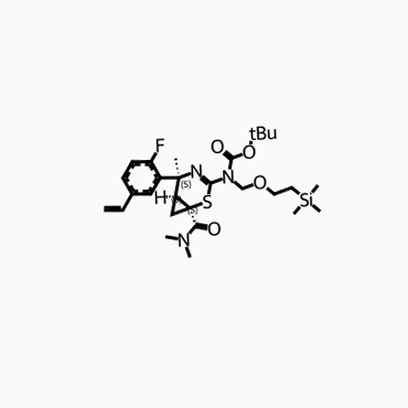 C=Cc1ccc(F)c([C@@]2(C)N=C(N(COCC[Si](C)(C)C)C(=O)OC(C)(C)C)S[C@@]3(C(=O)N(C)C)C[C@H]32)c1